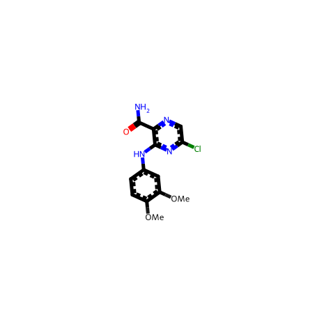 COc1ccc(Nc2nc(Cl)cnc2C(N)=O)cc1OC